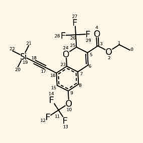 CCOC(=O)C1=Cc2cc(OC(F)(F)F)cc(C#C[Si](C)(C)C)c2OC1C(F)(F)F